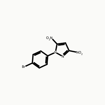 O=[N+]([O-])c1cc([N+](=O)[O-])n(-c2ccc(Br)cc2)n1